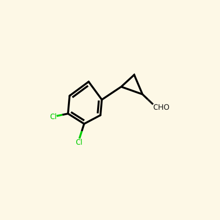 O=CC1CC1c1ccc(Cl)c(Cl)c1